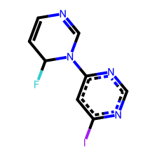 FC1C=CN=CN1c1cc(I)ncn1